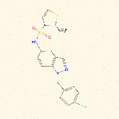 O=C(O)c1sccc1S(=O)(=O)Nc1ccc2c(cnn2Cc2ccc(F)cc2)c1